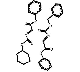 O=C(N=NC(=O)OC1CCCCC1)Oc1ccccc1.O=C(N=NC(=O)Oc1ccccc1)OCc1ccccc1